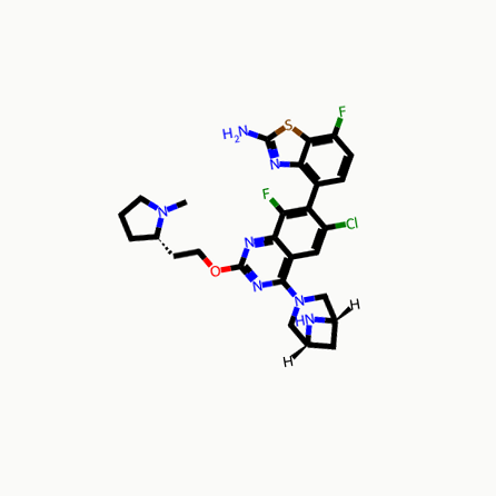 CN1CCC[C@H]1CCOc1nc(N2C[C@H]3C[C@@H](C2)N3)c2cc(Cl)c(-c3ccc(F)c4sc(N)nc34)c(F)c2n1